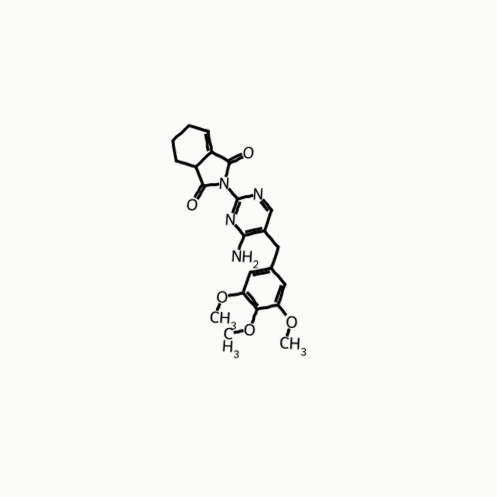 COc1cc(Cc2cnc(N3C(=O)C4=CCCCC4C3=O)nc2N)cc(OC)c1OC